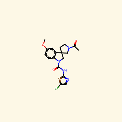 COc1ccc2c(c1)C1(CCN(C(C)=O)C1)CN2C(=O)Nc1ncc(Cl)s1